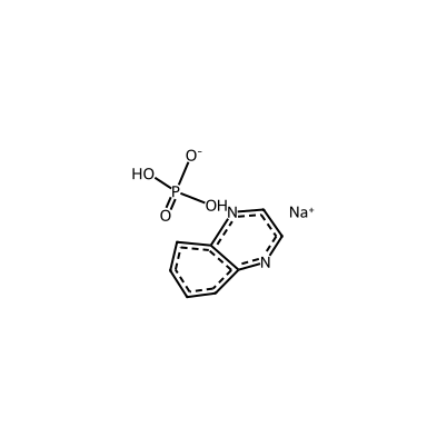 O=P([O-])(O)O.[Na+].c1ccc2nccnc2c1